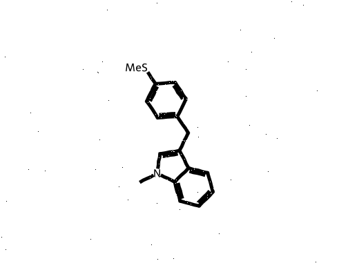 CSc1ccc(Cc2cn(C)c3ccccc23)cc1